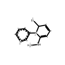 CCC1C=CC=C(NN)N1c1cccnc1